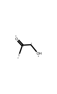 O=C(I)CO